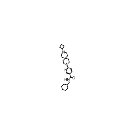 O=C(NCC1CCCCC1)c1ccc(N2CCC3(CC2)CCN(C2CCC2)CC3)nc1